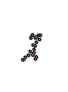 c1ccc(N(c2ccc(-c3ccc(-c4ccc5c(c4)sc4cccc(-c6ccccc6N(c6ccc(-c7ccc8c(c7)sc7ccccc78)cc6)c6ccc(-c7cccc8ccccc78)cc6)c45)c4ccccc34)cc2)c2ccc(-c3cccc4sc5ccccc5c34)cc2)c(-c2cccc3sc4ccccc4c23)c1